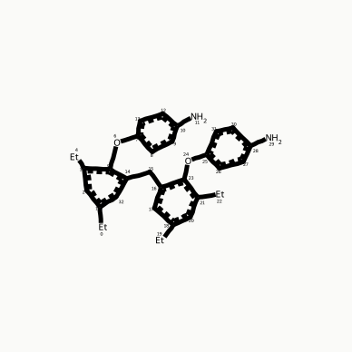 CCc1cc(CC)c(Oc2ccc(N)cc2)c(Cc2cc(CC)cc(CC)c2Oc2ccc(N)cc2)c1